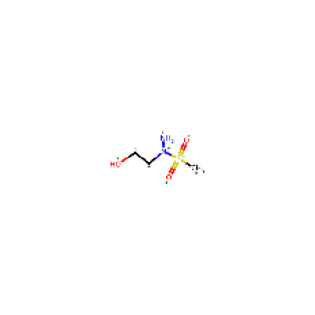 CS(=O)(=O)N(N)CCO